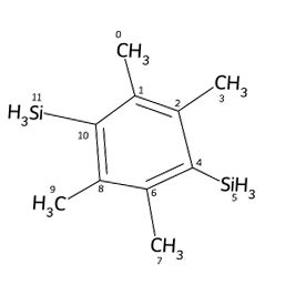 Cc1c(C)c([SiH3])c(C)c(C)c1[SiH3]